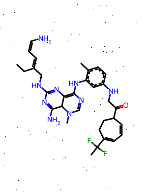 CC/C(=C\C=C/N)CNC1=NC2=C(Nc3cc(NCC(=O)C4C=CC=C(C(C)(F)F)CC4)ccc3C)N=CN(C)C2C(N)=N1